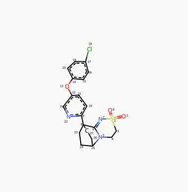 O=S1(=O)CCN2C(=N1)C1(c3ccc(Oc4ccc(Cl)cc4)cn3)CCC2CC1